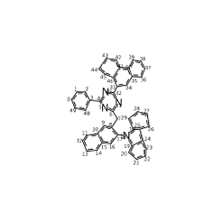 c1ccc(-c2nc(Cc3cc4ccccc4cc3-n3c4ccccc4c4ccccc43)nc(-c3cc4ccccc4c4ccccc34)n2)cc1